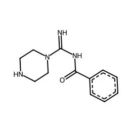 N=C(NC(=O)c1ccccc1)N1CCNCC1